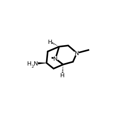 CN1C[C@H]2C[C@@H](N)C[C@@H](C1)N2C